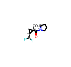 CCOC(=O)[C@]1(C(=O)N2CCCC2)C[C@@H]1B(F)F